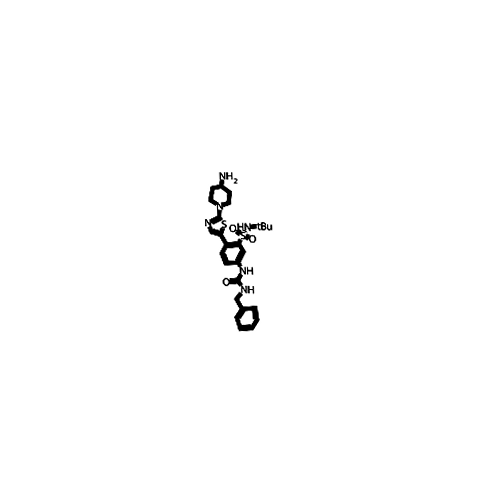 CC(C)(C)NS(=O)(=O)c1cc(NC(=O)NCc2ccccc2)ccc1-c1cnc(N2CCC(N)CC2)s1